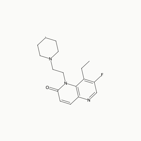 CCc1c(F)cnc2ccc(=O)n(CCN3CC[CH]CC3)c12